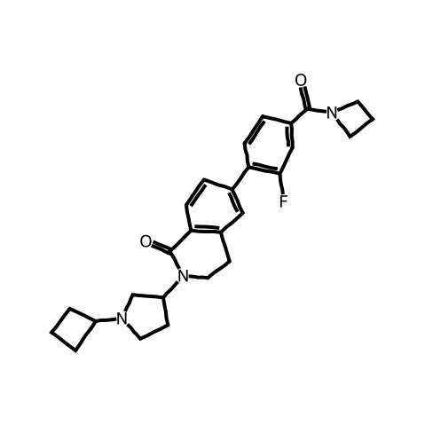 O=C(c1ccc(-c2ccc3c(c2)CCN(C2CCN(C4CCC4)C2)C3=O)c(F)c1)N1CCC1